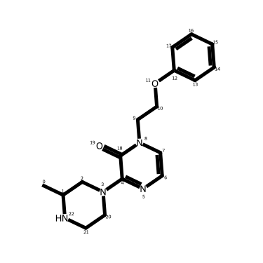 CC1CN(c2nccn(CCOc3ccccc3)c2=O)CCN1